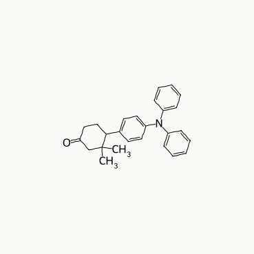 CC1(C)CC(=O)CCC1c1ccc(N(c2ccccc2)c2ccccc2)cc1